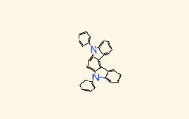 C1=CCCC(n2c3ccccc3c3c4c5ccccc5n(-c5ccccc5)c4ccc32)=C1